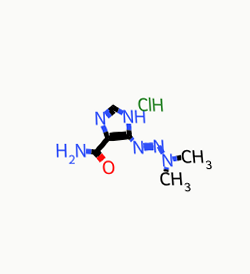 CN(C)N=Nc1[nH]cnc1C(N)=O.Cl